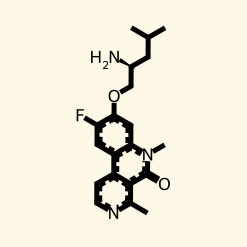 Cc1nccc2c1c(=O)n(C)c1cc(OC[C@@H](N)CC(C)C)c(F)cc21